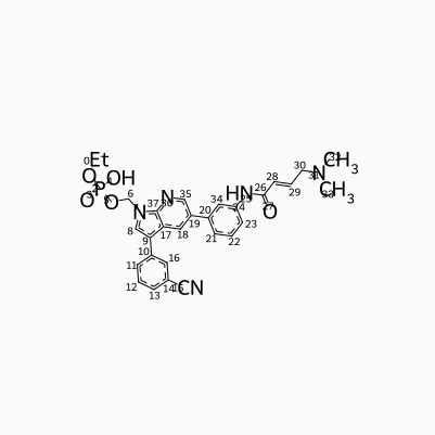 CCOP(=O)(O)OCn1cc(-c2cccc(C#N)c2)c2cc(-c3cccc(NC(=O)C=CCN(C)C)c3)cnc21